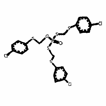 O=P(OCSc1ccc(Cl)cc1)(SCSc1ccc(Cl)cc1)SCSc1ccc(Cl)cc1